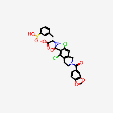 O=C(N[C@@H](Cc1cccc(S(=O)O)c1)C(=O)O)c1c(Cl)cc2c(c1Cl)CCN(C(=O)c1ccc3c(c1)OCO3)C2